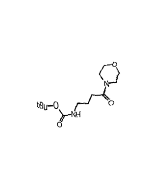 CC(C)(C)OC(=O)NCCCC(=O)N1CCOCC1